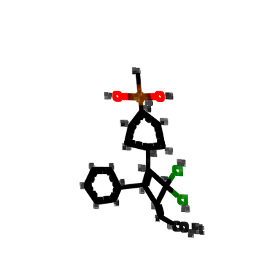 CCOC(=O)C=C1C(c2ccccc2)=C(c2ccc(S(C)(=O)=O)cc2)C1(Cl)Cl